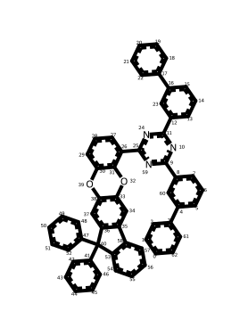 c1ccc(-c2cccc(-c3nc(-c4cccc(-c5ccccc5)c4)nc(-c4cccc5c4Oc4cc6c(cc4O5)C(c4ccccc4)(c4ccccc4)c4ccccc4-6)n3)c2)cc1